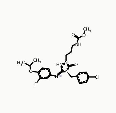 COC(=O)NCCCn1[nH]/c(=N\c2ccc(OC(C)C)c(F)c2)n(Cc2ccc(Cl)cc2)c1=O